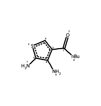 CCCCC(=O)c1csc(N)c1N